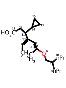 C/C=C(\C=C(/C)OCC(CCC)CCC)C(CC(=O)O)C1CC1